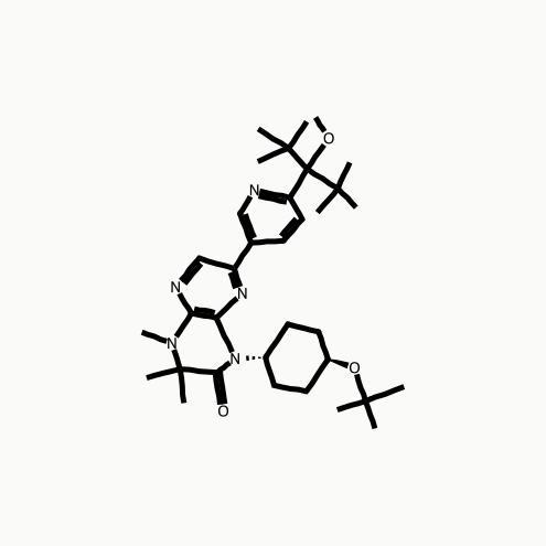 COC(c1ccc(-c2cnc3c(n2)N([C@H]2CC[C@H](OC(C)(C)C)CC2)C(=O)C(C)(C)N3C)cn1)(C(C)(C)C)C(C)(C)C